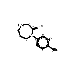 CCC(C)c1ccc(N2CCCNCC2=O)cn1